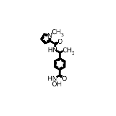 CC(NC(=O)c1cccn1C)c1ccc(C(=O)NO)cc1